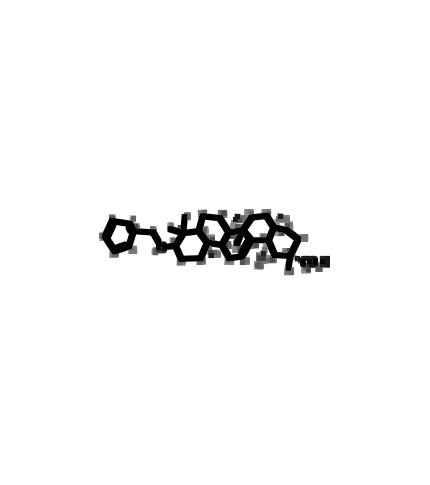 CC1(C)C(OCc2ccccc2)CC[C@@]2(C)C1CC[C@]1(C)C2CC=C2[C@@H]3C[C@@](C)(C(=O)O)CC[C@]3(C)CC[C@]21C